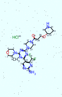 C[C@H]1COCCN1c1nc(-c2cnc(N)nc2C(F)F)nc(N2CCN(C(=O)CCO[C@@H]3CCCNC3)CC2)n1.Cl